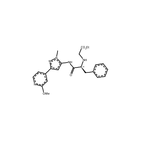 CCOC(=O)CN[C@@H](Cc1ccccc1)C(=O)Nc1cc(-c2ccnc(OC)c2)nn1C